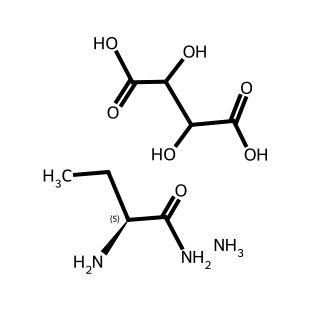 CC[C@H](N)C(N)=O.N.O=C(O)C(O)C(O)C(=O)O